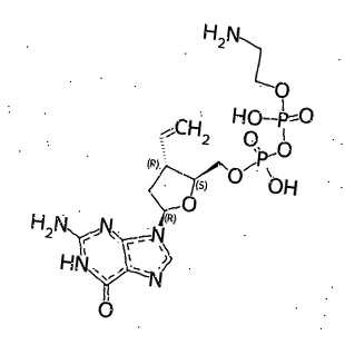 C=C[C@H]1C[C@H](n2cnc3c(=O)[nH]c(N)nc32)O[C@@H]1COP(=O)(O)OP(=O)(O)OCCN